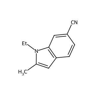 CCn1c(C)cc2ccc(C#N)cc21